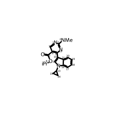 CNc1ncc(C(=O)OC(C)C)c(-c2cn(C3CC3)c3ccccc23)n1